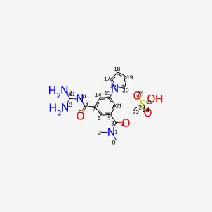 CN(C)C(=O)c1cc(C(=O)N=C(N)N)cc(-n2cccc2)c1.CS(=O)(=O)O